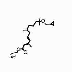 CC(C=CCC(C)CCCC(C)(C)OCC1CC1)=CC(=O)OCCS